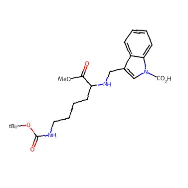 COC(=O)C(CCCCNC(=O)OC(C)(C)C)NCc1cn(C(=O)O)c2ccccc12